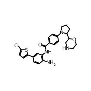 Nc1ccc(-c2ccc(Cl)s2)cc1NC(=O)c1ccc(N2CCCC2C2CNCCO2)cc1